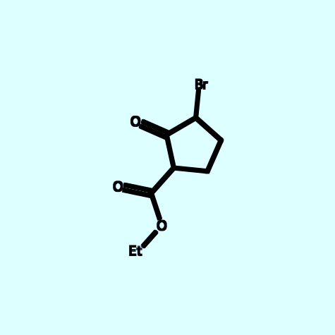 CCOC(=O)C1CCC(Br)C1=O